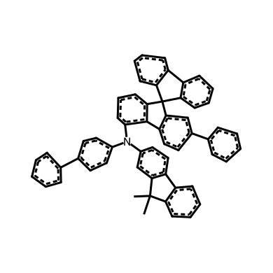 CC1(C)c2ccccc2-c2ccc(N(c3ccc(-c4ccccc4)cc3)c3cccc4c3-c3ccc(-c5ccccc5)cc3C43c4ccccc4-c4ccccc43)cc21